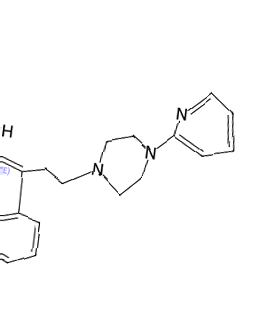 O/N=C(\CCN1CCN(c2ccccn2)CC1)c1ccccc1